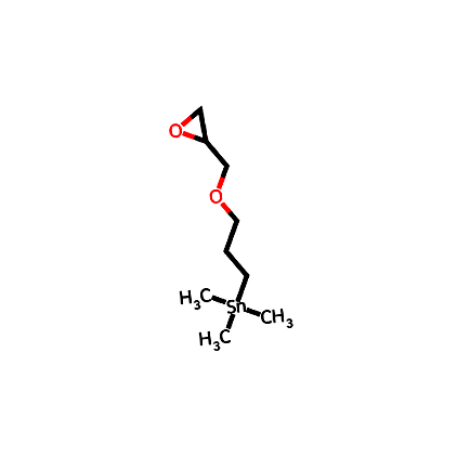 [CH3][Sn]([CH3])([CH3])[CH2]CCOCC1CO1